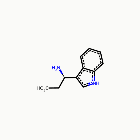 N[C@H](CC(=O)O)c1c[nH]c2ccccc12